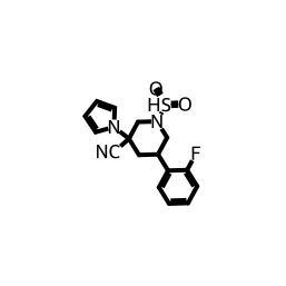 N#CC1(n2cccc2)CC(c2ccccc2F)CN([SH](=O)=O)C1